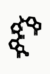 CN(c1ccc2cc[nH]c2c1)c1ccnc(Nc2cccc3c2CC(=O)N3)n1